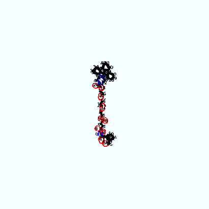 CN(OC(=O)CCC(=O)OCCOCCOCCOC(=O)N1CCN(C(c2ccccc2)(c2ccccc2)c2ccccc2)CC1)C(=O)C1C2C=CC(C2)C1C=O